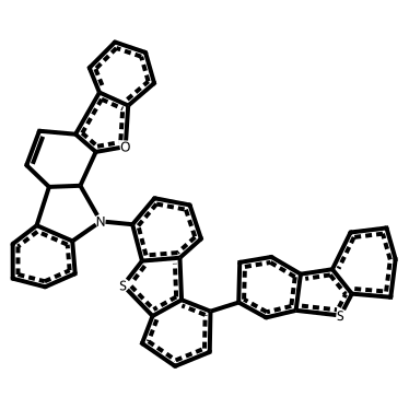 C1=CC2c3ccccc3N(c3cccc4c3sc3cccc(-c5ccc6c(c5)sc5ccccc56)c34)C2c2oc3ccccc3c21